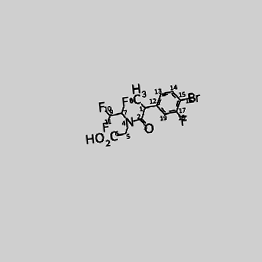 CC(C(=O)N(CC(=O)O)C(F)C(F)F)c1ccc(Br)c(F)c1